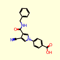 N#Cc1cn(-c2ccc(C(=O)O)cc2)cc1C(=O)NCc1ccccc1